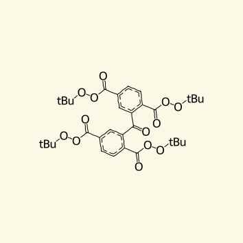 CC(C)(C)OOC(=O)c1ccc(C(=O)OOC(C)(C)C)c(C(=O)c2cc(C(=O)OOC(C)(C)C)ccc2C(=O)OOC(C)(C)C)c1